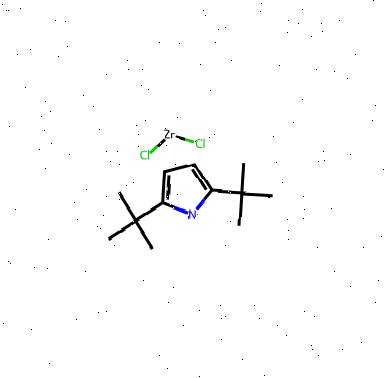 CC(C)(C)C1=CC=C(C(C)(C)C)[N]1.[Cl][Zr][Cl]